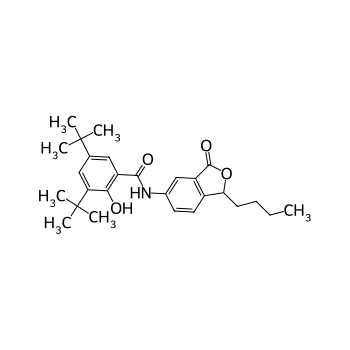 CCCCC1OC(=O)c2cc(NC(=O)c3cc(C(C)(C)C)cc(C(C)(C)C)c3O)ccc21